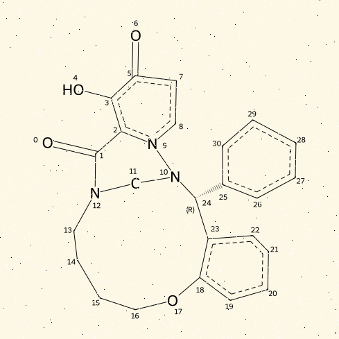 O=C1c2c(O)c(=O)ccn2N2CN1CCCCOc1ccccc1[C@H]2c1ccccc1